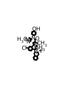 Cc1c(C(=O)N(c2ccc(O)cc2)c2cnn(C)c2)cc(-c2cc(Cl)ccc2C(=O)N2Cc3ccccc3C[C@H]2CF)n1C